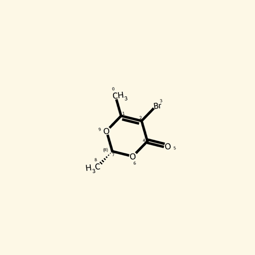 CC1=C(Br)C(=O)O[C@H](C)O1